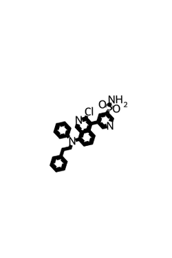 NS(=O)(=O)c1cncc(-c2c(Cl)ncc3c(N(CCc4ccccc4)c4ccccc4)cccc23)c1